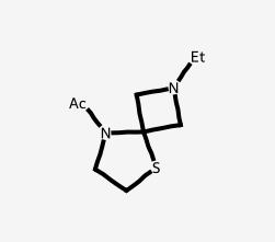 CCN1CC2(C1)SCCN2C(C)=O